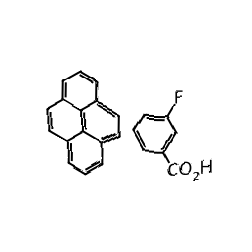 O=C(O)c1cccc(F)c1.c1cc2ccc3cccc4ccc(c1)c2c34